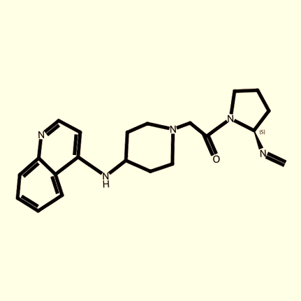 C=N[C@@H]1CCCN1C(=O)CN1CCC(Nc2ccnc3ccccc23)CC1